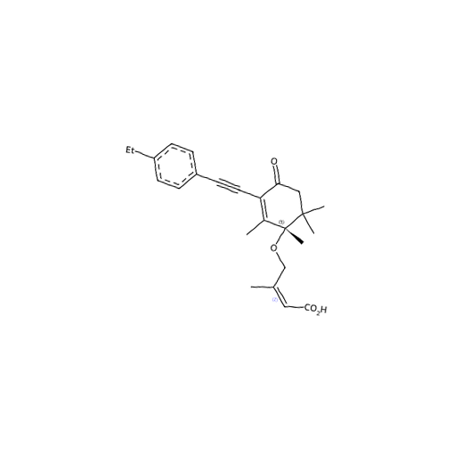 CCc1ccc(C#CC2=C(C)[C@@](C)(OC/C(C)=C\C(=O)O)C(C)(C)CC2=O)cc1